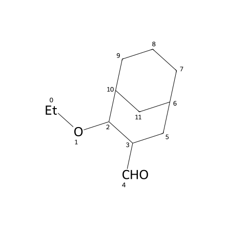 CCOC1C(C=O)CC2CCCC1C2